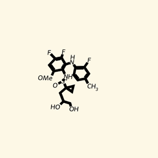 COc1cc(F)c(F)c(Nc2ccc(C)cc2F)c1N[S+]([O-])C1(CC(O)CO)CC1